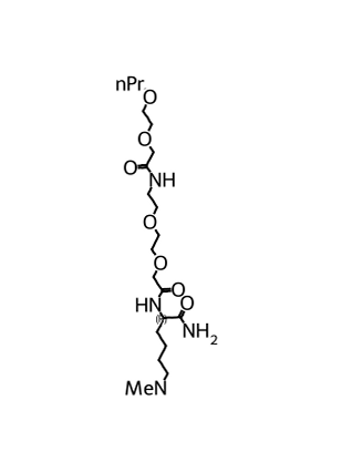 CCCOCCOCC(=O)NCCOCCOCC(=O)N[C@H](CCCCNC)C(N)=O